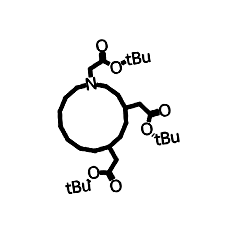 CC(C)(C)OC(=O)CC1CCCCCCCN(CC(=O)OC(C)(C)C)CCC(CC(=O)OC(C)(C)C)CC1